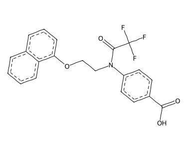 O=C(O)c1ccc(N(CCOc2cccc3ccccc23)C(=O)C(F)(F)F)cc1